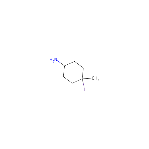 CC1(I)CCC(N)CC1